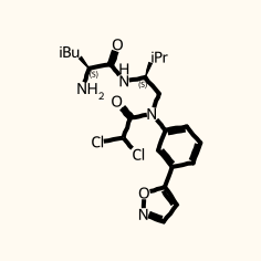 CCC(C)[C@H](N)C(=O)N[C@H](CN(C(=O)C(Cl)Cl)c1cccc(-c2ccno2)c1)C(C)C